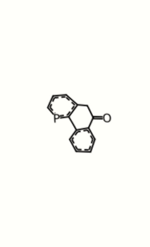 O=C1Cc2cccpc2-c2ccccc21